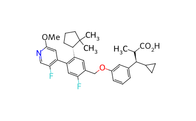 COc1cc(-c2cc(F)c(COc3cccc([C@H](C4CC4)C(C)C(=O)O)c3)cc2[C@@H]2CCCC2(C)C)c(F)cn1